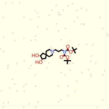 CC(C)(C)OC(=O)N(CCCN1CCC2(CC1)C[C@@H](O)[C@H](O)C2)C(=O)OC(C)(C)C